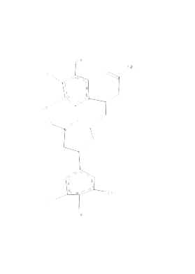 CC(C)(C)c1cc(C(CCCC(CC(N)=O)c2cc(C(C)(C)C)c(O)c(C(C)(C)C)c2)CC(N)=O)cc(C(C)(C)C)c1O